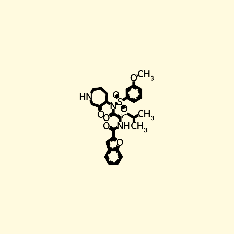 COc1cccc(S(=O)(=O)N(C(=O)[C@H](CC(C)C)NC(=O)c2cc3ccccc3o2)C2CCCNCC2=O)c1